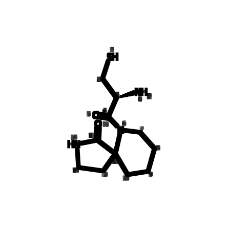 N[C@@H](CS)C(=O)N1CCCCC12CCNC2=O